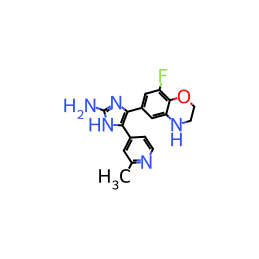 Cc1cc(-c2[nH]c(N)nc2-c2cc(F)c3c(c2)NCCO3)ccn1